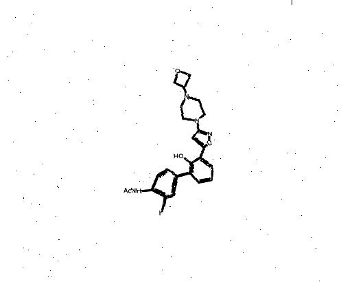 CC(=O)Nc1ccc(-c2cccc(-c3cc(N4CCN(C5COC5)CC4)no3)c2O)cc1F